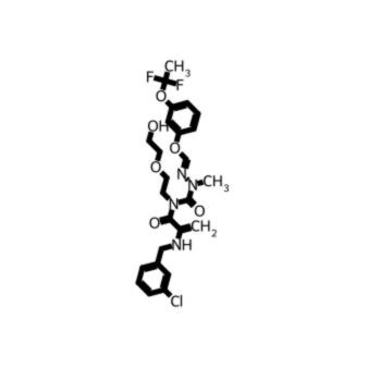 C=C(NCc1cccc(Cl)c1)C(=O)N(CCOCCO)C(=O)N(C)/N=C/Oc1cccc(OC(C)(F)F)c1